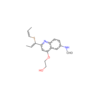 C/C=C\S/C(=C\C)c1cc(OCCO)c2cc(NC=O)ccc2n1